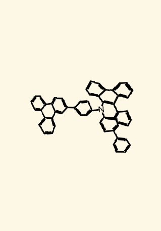 c1ccc(-c2ccc(N(c3ccc(-c4ccc5c6ccccc6c6ccccc6c5c4)cc3)c3c(-c4ccccc4)c4ccccc4c4ccccc34)cc2)cc1